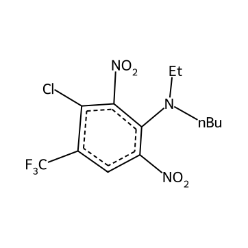 CCCCN(CC)c1c([N+](=O)[O-])cc(C(F)(F)F)c(Cl)c1[N+](=O)[O-]